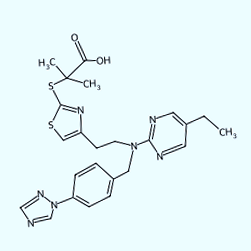 CCc1cnc(N(CCc2csc(SC(C)(C)C(=O)O)n2)Cc2ccc(-n3cncn3)cc2)nc1